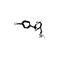 NCc1csc(-c2ccc(Cl)cc2)n1